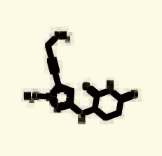 Cn1nc(NC2CCC(=O)NC2=O)cc1C#CCN